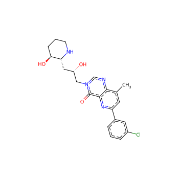 Cc1cc(-c2cccc(Cl)c2)nc2c(=O)n(C[C@@H](O)C[C@H]3NCCC[C@@H]3O)cnc12